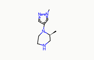 C[C@H]1CNCCN1c1cnn(C)c1